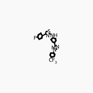 Fc1ccc(C2CSC(Nc3ccc(-c4ncn(-c5ccc(C(F)(F)F)cc5)n4)cc3)=N2)cc1